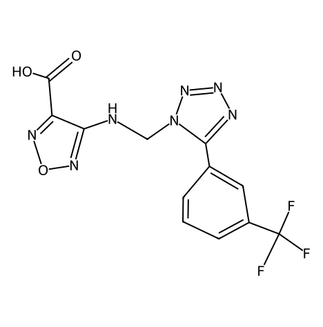 O=C(O)c1nonc1NCn1nnnc1-c1cccc(C(F)(F)F)c1